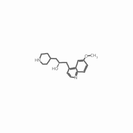 COc1ccc2nccc(C[C@@H](O)CC3CCNCC3)c2c1